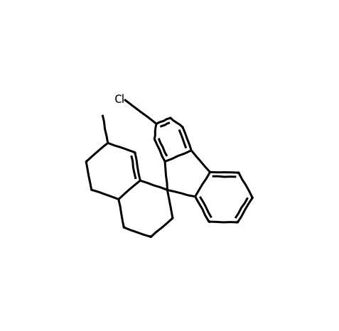 CC1C=C2C(CCCC23c2ccccc2-c2ccc(Cl)cc23)CC1